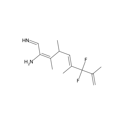 C=C(C)C(F)(F)/C(C)=C/C(C)/C(C)=C(/N)C=N